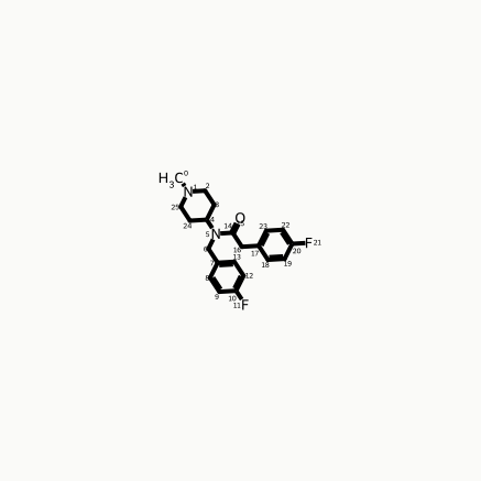 CN1CCC(N(Cc2ccc(F)cc2)C(=O)Cc2ccc(F)cc2)CC1